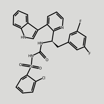 O=C(N[C@H](Cc1cc(F)cc(F)c1)c1ncccc1-c1c[nH]c2ccccc12)NS(=O)(=O)c1ccccc1Cl